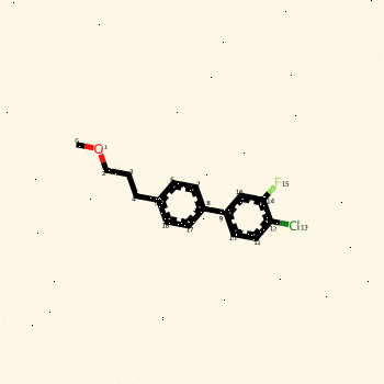 COCCCc1ccc(-c2ccc(Cl)c(F)c2)cc1